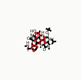 CN[C@@H](C)C(=O)N(C)[C@@H](C)C(=O)N(C)[C@@H](Cc1ccccc1)C(=O)N(C)[C@@H](CC(C)C)C(=O)N[C@H](C(=O)N(C)CC(=O)N(C)[C@@H](CC(C)C)C(=O)N[C@@H](COC(C)(C)C)C(=O)N[C@@H](CC(=O)O)C(=O)O)[C@@H](C)O